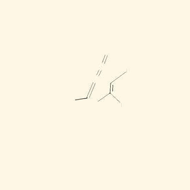 C=C=C=CF.FC=C(F)F